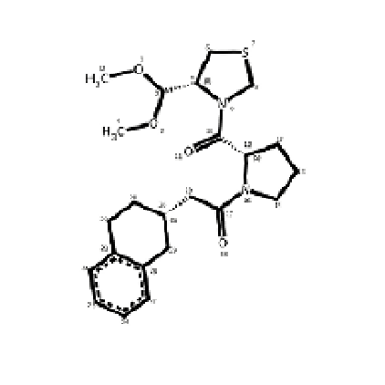 COC(OC)[C@@H]1CSCN1C(=O)[C@@H]1CCCN1C(=O)C[C@H]1CCc2ccccc2C1